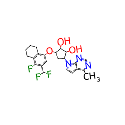 Cc1ncnc2c1ccn2C1CC(Oc2cc(C(F)F)c(F)c3c2CCCC3)[C@@H](O)[C@H]1O